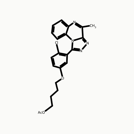 CC(=O)OCCCCOc1ccc(Cl)c(-c2nnc3c(C)nc4ccccc4n23)c1